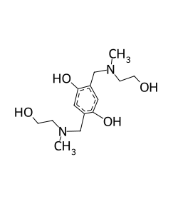 CN(CCO)Cc1cc(O)c(CN(C)CCO)cc1O